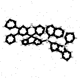 c1ccc(-c2cc3c(cc2-c2ccccc2)C2(c4ccccc4O3)c3ccccc3-c3ccc(N(c4ccc5c6ccccc6n(-c6ccccc6)c5c4)c4cccc5ccccc45)cc32)cc1